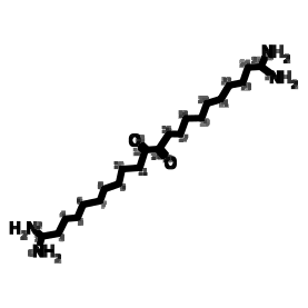 NC(N)CCCCCCCCCC(=O)C(=O)CCCCCCCCCC(N)N